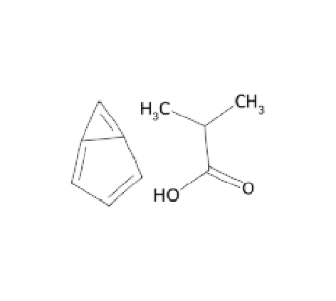 CC(C)C(=O)O.c1cc2cc-2c1